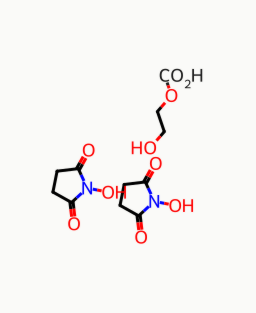 O=C(O)OCCO.O=C1CCC(=O)N1O.O=C1CCC(=O)N1O